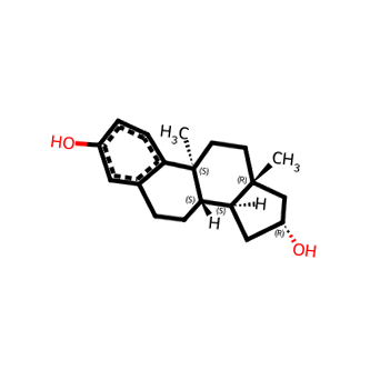 C[C@]12CC[C@]3(C)c4ccc(O)cc4CC[C@H]3[C@@H]1C[C@@H](O)C2